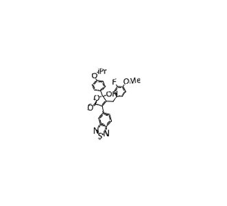 COc1ccc(CC2=C(c3ccc4nsnc4c3)C(=O)OC2(O)c2ccc(OC(C)C)cc2)cc1F